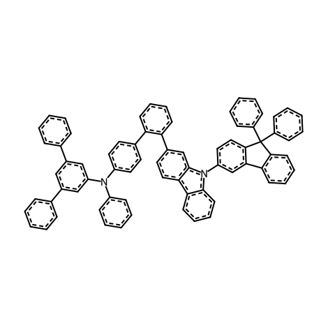 c1ccc(-c2cc(-c3ccccc3)cc(N(c3ccccc3)c3ccc(-c4ccccc4-c4ccc5c6ccccc6n(-c6ccc7c(c6)-c6ccccc6C7(c6ccccc6)c6ccccc6)c5c4)cc3)c2)cc1